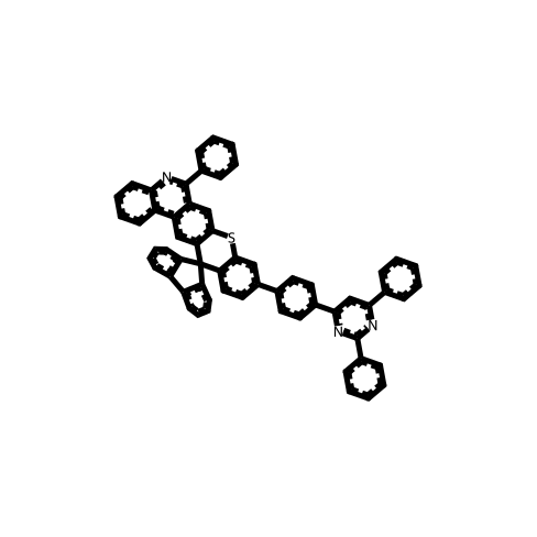 c1ccc(-c2cc(-c3ccc(-c4ccc5c(c4)Sc4cc6c(-c7ccccc7)nc7ccccc7c6cc4C54c5ccccc5-c5ccccc54)cc3)nc(-c3ccccc3)n2)cc1